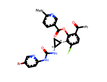 CCCC(=O)c1ccc(F)c([C@H]2C[C@H]2NC(=O)Nc2ccc(Br)cn2)c1OC(=O)c1ccc(NC)nc1